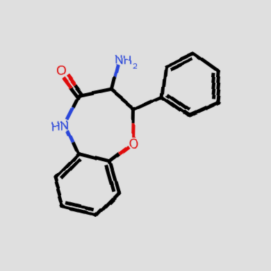 NC1C(=O)Nc2ccccc2OC1c1ccccc1